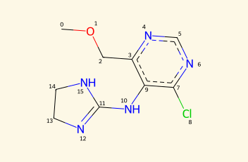 COCc1ncnc(Cl)c1NC1=NCCN1